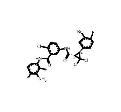 Nc1c(F)ccc(NC(=O)c2cc(NC(=O)[C@@H]3[C@@H](c4ccc(F)c(Br)c4)C3(Cl)Cl)ccc2Cl)c1F